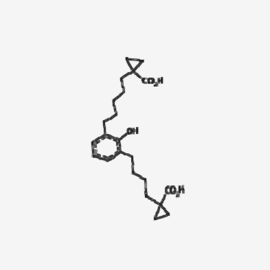 O=C(O)C1(CCCCCc2cccc(CCCCC3(C(=O)O)CC3)c2O)CC1